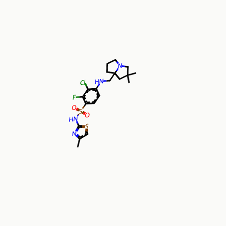 Cc1csc(NS(=O)(=O)c2ccc(NCC34CCCN3CC(C)(C)C4)c(Cl)c2F)n1